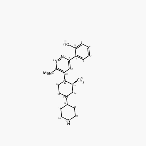 CNc1nnc(-c2ccccc2O)cc1N1CCN(C2CCNCC2)C[C@@H]1C